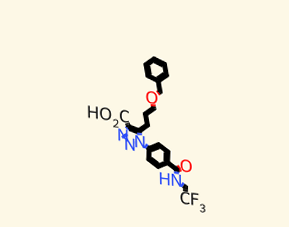 O=C(NCC(F)(F)F)c1ccc(-n2nnc(C(=O)O)c2CCCOCc2ccccc2)cc1